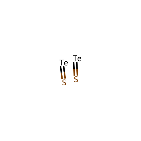 S=[Te].S=[Te]